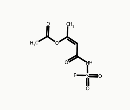 CC(=O)O/C(C)=C\C(=O)NS(=O)(=O)F